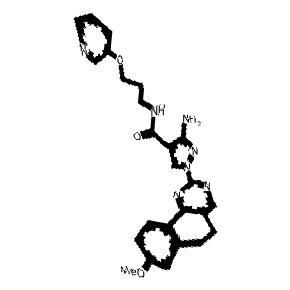 COc1ccc2c(c1)CCc1cnc(-n3cc(C(=O)NCCCOc4cccnc4)c(N)n3)nc1-2